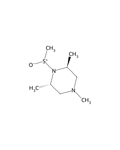 C[C@H]1CN(C)C[C@H](C)N1[S+](C)[O-]